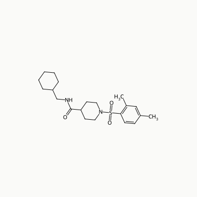 Cc1ccc(S(=O)(=O)N2CCC(C(=O)NCC3CCCCC3)CC2)c(C)c1